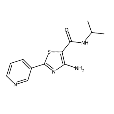 CC(C)NC(=O)c1sc(-c2cccnc2)nc1N